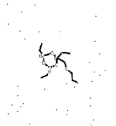 CCCOC[Si]1(CC)O[SiH](CC)O[SiH](CC)O1